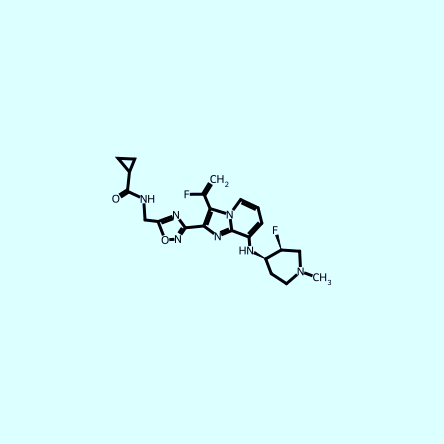 C=C(F)c1c(-c2noc(CNC(=O)C3CC3)n2)nc2c(N[C@@H]3CCN(C)C[C@@H]3F)cccn12